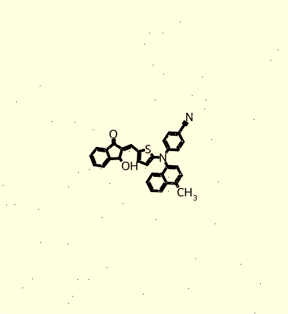 Cc1ccc(N(c2ccc(C#N)cc2)c2ccc(/C=C3/C(=O)c4ccccc4C3O)s2)c2ccccc12